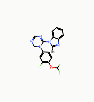 CCc1nc2ccccc2n1C1=NC=NCN1c1ccc(OC(F)F)c(F)c1